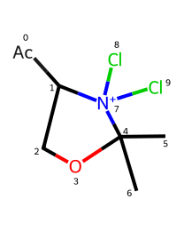 CC(=O)C1COC(C)(C)[N+]1(Cl)Cl